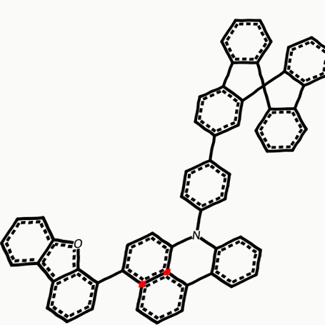 c1ccc(-c2ccccc2N(c2ccc(-c3ccc4c(c3)C3(c5ccccc5-c5ccccc53)c3ccccc3-4)cc2)c2ccc(-c3cccc4c3oc3ccccc34)cc2)cc1